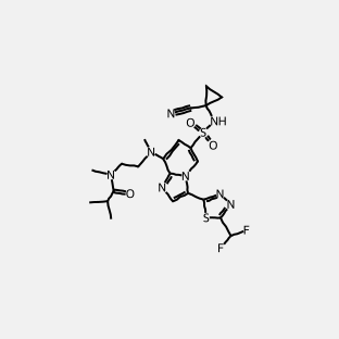 CC(C)C(=O)N(C)CCN(C)c1cc(S(=O)(=O)NC2(C#N)CC2)cn2c(-c3nnc(C(F)F)s3)cnc12